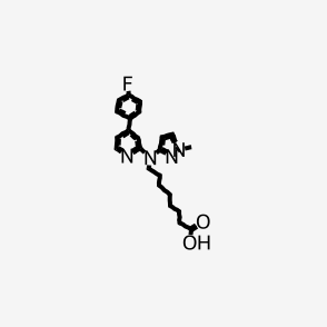 Cn1ccc(N(CCCCCCCC(=O)O)c2cc(-c3ccc(F)cc3)ccn2)n1